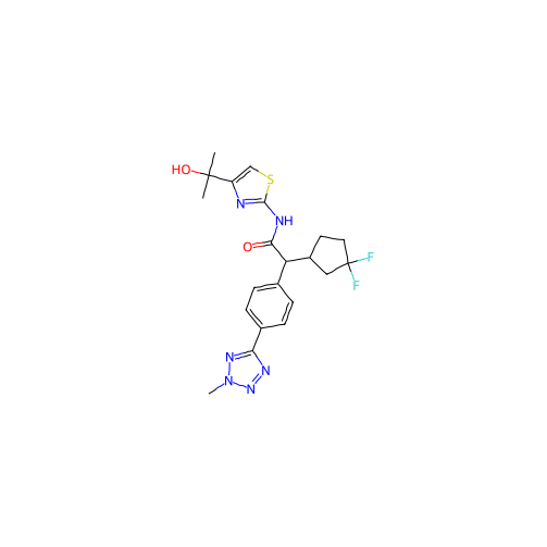 Cn1nnc(-c2ccc(C(C(=O)Nc3nc(C(C)(C)O)cs3)C3CCC(F)(F)C3)cc2)n1